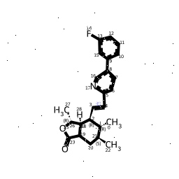 C[C@H]1[C@H](/C=C/c2ccc(-c3cccc(F)c3)cn2)[C@H]2C(C[C@@H]1C)C(=O)O[C@@H]2C